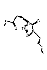 COC(=O)/C=C\n1nnn(CCSC)c1=O